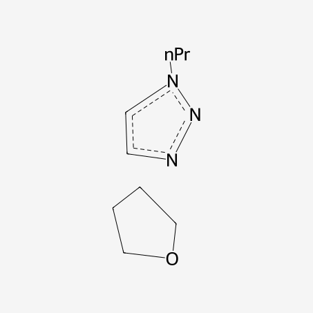 C1CCOC1.CCCn1ccnn1